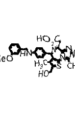 COc1cccc(CNc2ccc(C3=N[C@@H](CC(=O)O)c4nnc(C)n4-c4sc(CO)c(C)c43)cc2)c1